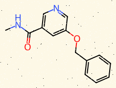 CNC(=O)c1cncc(OCc2ccccc2)c1